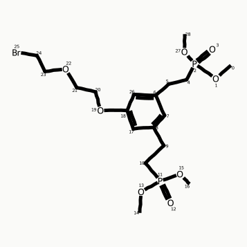 COP(=O)(CCc1cc(CCP(=O)(OC)OC)cc(OCCOCCBr)c1)OC